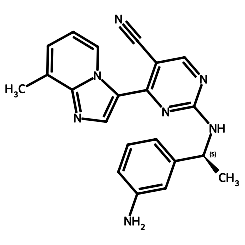 Cc1cccn2c(-c3nc(N[C@@H](C)c4cccc(N)c4)ncc3C#N)cnc12